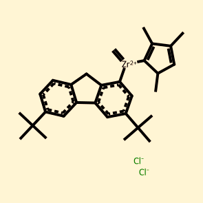 [CH2]=[Zr+2]([C]1=C(C)C(C)=CC1C)[c]1cc(C(C)(C)C)cc2c1Cc1ccc(C(C)(C)C)cc1-2.[Cl-].[Cl-]